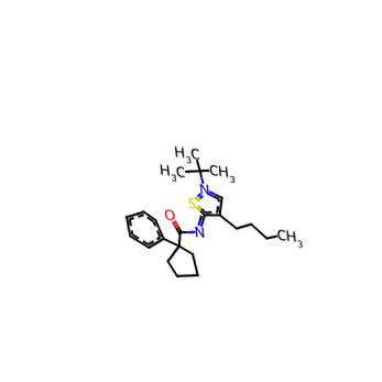 CCCCc1cn(C(C)(C)C)s/c1=N\C(=O)C1(c2ccccc2)CCCC1